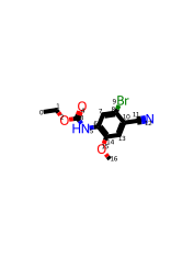 CCOC(=O)Nc1cc(Br)c(C#N)cc1OC